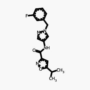 CC(C)c1cc(C(=O)Nc2cnn(Cc3cccc(F)c3)c2)no1